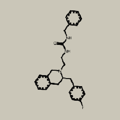 O=C(NCCN1Cc2ccccc2CC1Cc1ccc(F)cc1)NCc1ccccc1